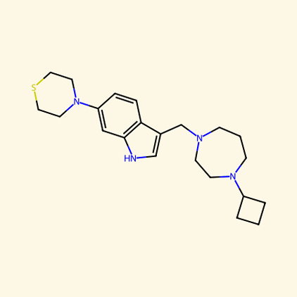 c1cc2c(CN3CCCN(C4CCC4)CC3)c[nH]c2cc1N1CCSCC1